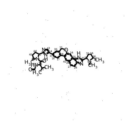 CC(C)C(NC=O)C(=O)N1C(c2ncc(-c3ccc4c(c3)COc3cc5c(ccc6nc(C7CC[C@H](C)N7C)[nH]c65)cc3-4)[nH]2)CC[C@@H]1C